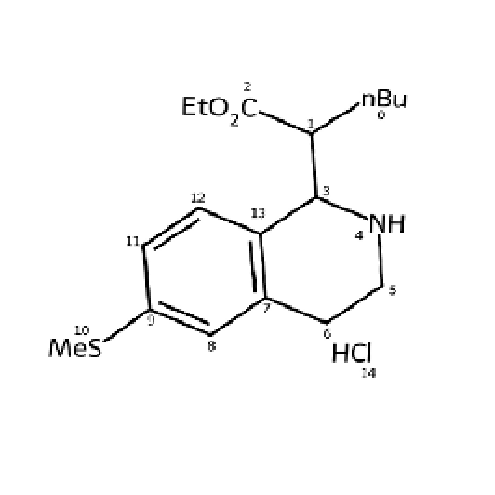 CCCCC(C(=O)OCC)C1NCCc2cc(SC)ccc21.Cl